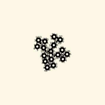 c1ccc([Si](c2ccccc2)(c2ccccc2)c2ccc(N3c4ccccc4B4c5cc([Si](c6ccccc6)(c6ccccc6)c6ccccc6)ccc5N(c5ccc([Si](c6ccccc6)(c6ccccc6)c6ccccc6)cc5)c5cc(-c6ccc(-n7c8ccccc8c8ccccc87)cc6)cc3c54)cc2)cc1